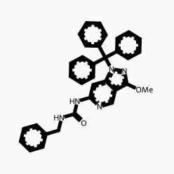 COc1nn(C(c2ccccc2)(c2ccccc2)c2ccccc2)c2cc(NC(=O)NCc3ccccc3)ncc12